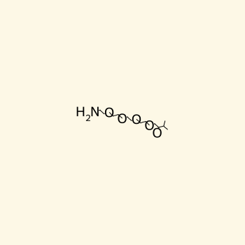 CC(C)C(=O)COCCOCCOCCOCCN